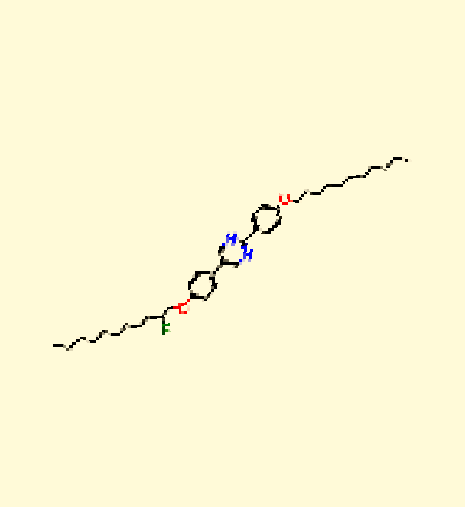 CCCCCCCCCCCOc1ccc(-c2ncc(-c3ccc(OCC(F)CCCCCCCCC)cc3)cn2)cc1